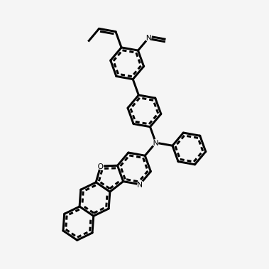 C=Nc1cc(-c2ccc(N(c3ccccc3)c3cnc4c(c3)oc3cc5ccccc5cc34)cc2)ccc1/C=C\C